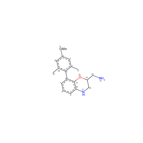 COc1cc(C)c(-c2cccc3c2OC(CN)CN3)c(C)c1